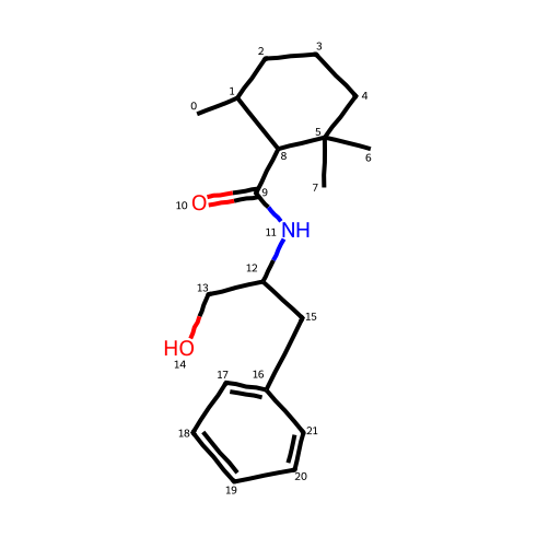 CC1CCCC(C)(C)C1C(=O)NC(CO)Cc1ccccc1